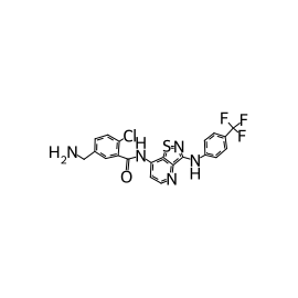 NCc1ccc(Cl)c(C(=O)Nc2ccnc3c(Nc4ccc(C(F)(F)F)cc4)nsc23)c1